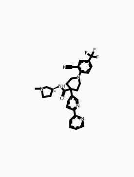 CN1CC[C@H](NC(=O)C2(c3ccc(-c4ccccn4)nc3)CCN(c3ccc(C(F)(F)F)cc3C#N)CC2)C1